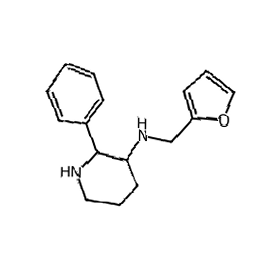 c1ccc(C2NCCCC2NCc2ccco2)cc1